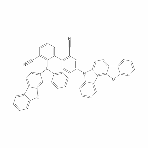 N#Cc1cc(-n2c3ccccc3c3c4oc5ccccc5c4ccc32)ccc1-c1cccc(C#N)c1-n1c2ccccc2c2c3oc4ccccc4c3ccc21